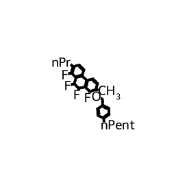 CCCCCc1ccc(COC2(C)C=CC3=C(C(F)C(F)c4c3ccc(CCC)c4F)C2F)cc1